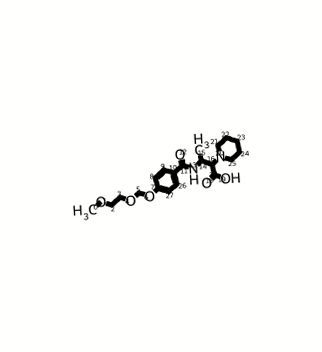 COCCOCOc1ccc(C(=O)NC(C)C(C(=O)O)N2CCCCC2)cc1